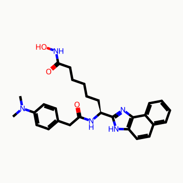 CN(C)c1ccc(CC(=O)N[C@@H](CCCCCC(=O)NO)c2nc3c(ccc4ccccc43)[nH]2)cc1